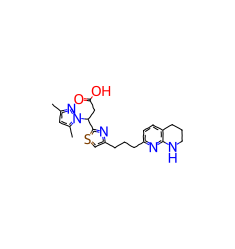 Cc1cc(C)n(C(CC(=O)O)c2nc(CCCc3ccc4c(n3)NCCC4)cs2)n1